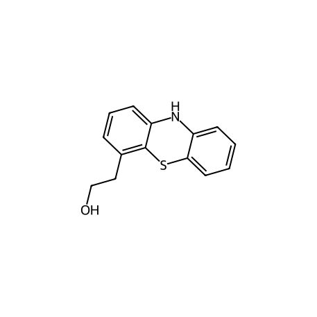 OCCc1cccc2c1Sc1ccccc1N2